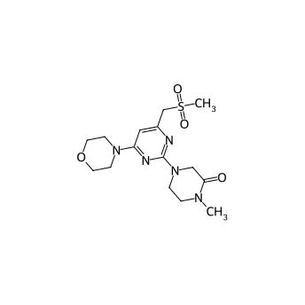 CN1CCN(c2nc(CS(C)(=O)=O)cc(N3CCOCC3)n2)CC1=O